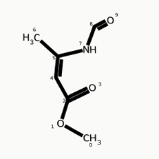 COC(=O)C=C(C)NC=O